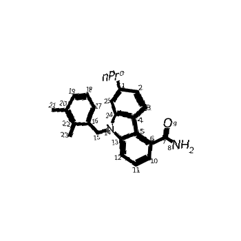 CCCc1c[c]c2c3c(C(N)=O)cccc3n(Cc3cccc(C)c3C)c2c1